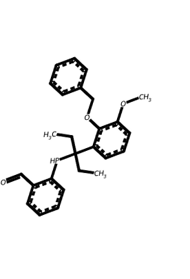 CCC(CC)(Pc1ccccc1C=O)c1cccc(OC)c1OCc1ccccc1